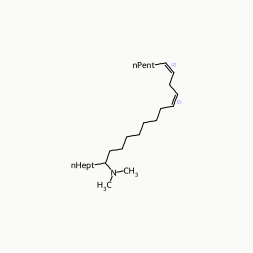 CCCCC/C=C\C/C=C\CCCCCCCC(CCCCCCC)N(C)C